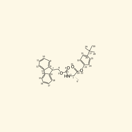 C[C@H](NC(=O)OCC1c2ccccc2-c2ccccc21)C(=O)Oc1ccc(C(C)(C)C)cc1